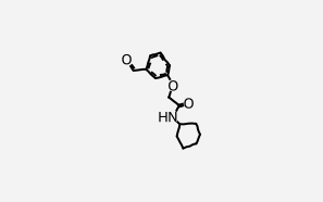 O=Cc1cccc(OCC(=O)NC2CCCCC2)c1